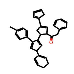 Cc1ccc(C2=CC(C3=CCCC=C3)C=C2C2CC(C3=CC=CC3)=CC2C(=O)Cc2ccccc2)cc1